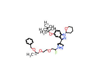 C[C@@H](COCCOCC(F)n1cc(-c2nn(C3CCCCO3)c3ccc(O[Si](C)(C)C(C)(C)C)cc23)cn1)OCc1ccccc1